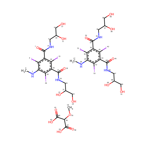 CNc1c(I)c(C(=O)NCC(O)CO)c(I)c(C(=O)NCC(O)CO)c1I.CNc1c(I)c(C(=O)NCC(O)CO)c(I)c(C(=O)NCC(O)CO)c1I.COC(C(=O)O)C(=O)O